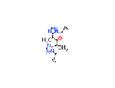 CC(C(=O)C(C)c1ncnn1CC1CC1)c1ncnn1CC1CC1